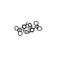 Fc1ccc(-n2c3c(c4c2CCCC4)CCCC3)c(F)[c]1[Ti]([C]1=CC=CC1)([C]1=CC=CC1)[c]1c(F)ccc(-n2c3c(c4c2CCCC4)CCCC3)c1F